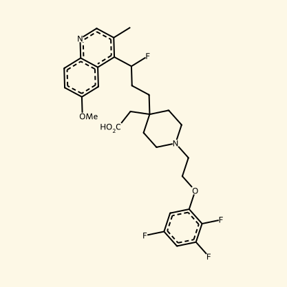 COc1ccc2ncc(C)c(C(F)CCC3(CC(=O)O)CCN(CCOc4cc(F)cc(F)c4F)CC3)c2c1